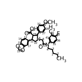 CCCCCN(C(=O)CN1CC(c2ccc3c(c2)OCO3)C(C(=O)O)C1c1ccc(OC)cc1)c1ccc(F)c(C)c1